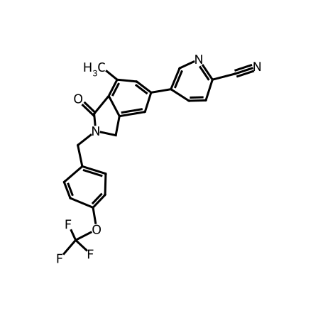 Cc1cc(-c2ccc(C#N)nc2)cc2c1C(=O)N(Cc1ccc(OC(F)(F)F)cc1)C2